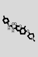 Cc1ccc(NC(=O)Nc2cc3ccc(OC4CCN(C)CC4)c(C)c3oc2=O)cc1